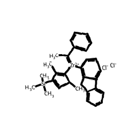 CC1=[C](/[Zr+2](=[C](\C)c2ccccc2)[c]2cccc3c2Cc2ccccc2-3)C(C)C=C1[Si](C)(C)C.[Cl-].[Cl-]